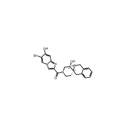 O=C(c1cn2cc(Br)c(O)cc2n1)N1CC[C@]2(Cc3ccccc3CN2)[C@H](O)C1